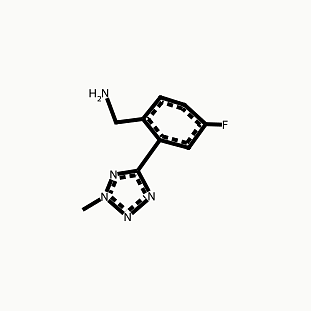 Cn1nnc(-c2cc(F)ccc2CN)n1